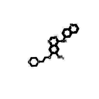 Nc1cc2c(Nc3ccc4ncccc4c3)ncnc2cc1OCCN1CCOCC1